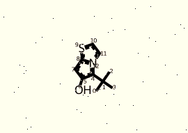 CC(C)(C)c1c(O)cc2sccn12